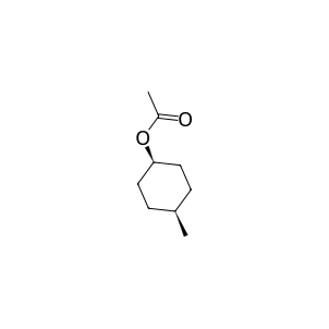 CC(=O)O[C@H]1CC[C@@H](C)CC1